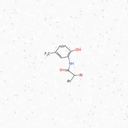 CC(C)C(Br)C(=O)Nc1cc(C(F)(F)F)ccc1O